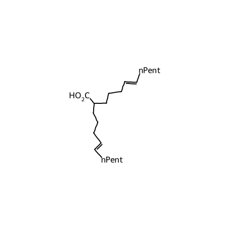 CCCCCC=CCCCC(CCCC=CCCCCC)C(=O)O